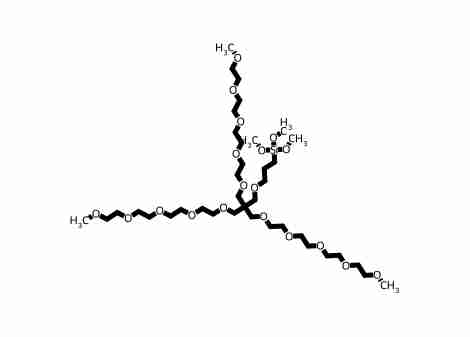 COCCOCCOCCOCCOCC(COCCC[Si](OC)(OC)OC)(COCCOCCOCCOCCOC)COCCOCCOCCOCCOC